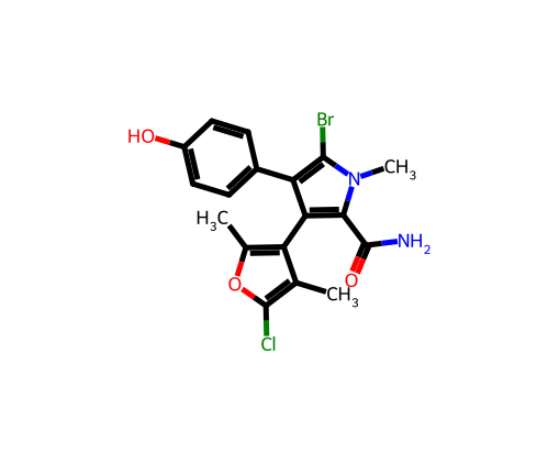 Cc1oc(Cl)c(C)c1-c1c(-c2ccc(O)cc2)c(Br)n(C)c1C(N)=O